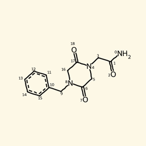 NC(=O)CN1CC(=O)N(Cc2ccccc2)CC1=O